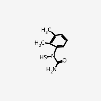 [CH2]c1c(C)cccc1N(S)C(N)=O